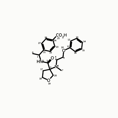 CC(NC(=O)C1(N(C)CCOc2ccccc2)CCOC1)c1ccc(C(=O)O)cc1